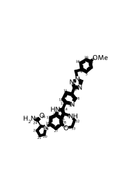 COc1ccc(Cn2cnc(-c3ccc(-c4[nH]c5cc(N6CCC[C@H]6C(N)=O)cc6c5c4NCCO6)nc3)n2)cc1